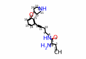 C#CC[C@H](N)C(=O)NCCCC#Cc1cccc(OC2CCNCC2)c1